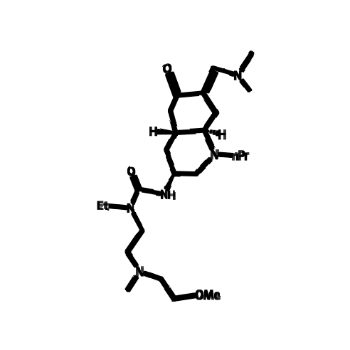 CCCN1C[C@@H](NC(=O)N(CC)CCN(C)CCOC)C[C@@H]2CC(=O)C(=CN(C)C)C[C@H]21